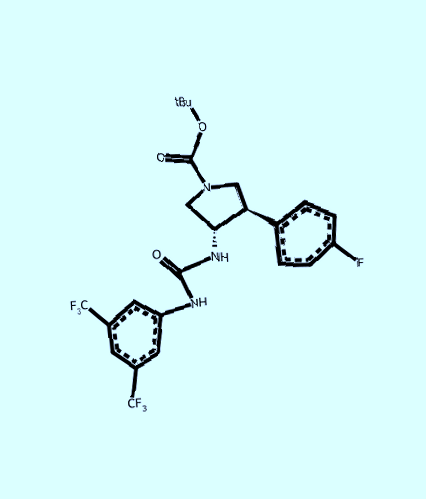 CC(C)(C)OC(=O)N1C[C@@H](NC(=O)Nc2cc(C(F)(F)F)cc(C(F)(F)F)c2)[C@H](c2ccc(F)cc2)C1